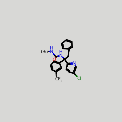 CC(C)(C)NC(=O)NC(Cc1ccccc1)(c1cccc(C(F)(F)F)c1)c1ccc(Cl)cn1